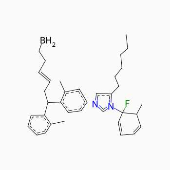 BCCC=CCC(c1ccccc1C)c1ccccc1C.CCCCCCc1cncn1C1(F)C=CC=CC1C